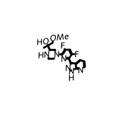 COCC(C)(O)C1CN(c2nc(-c3n[nH]c4ncccc34)c(F)cc2F)CCN1